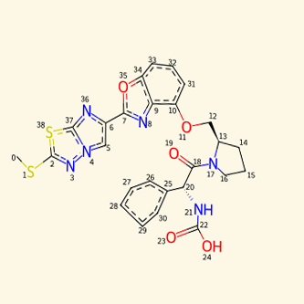 CSc1nn2cc(-c3nc4c(OC[C@H]5CCCN5C(=O)[C@H](NC(=O)O)c5ccccc5)cccc4o3)nc2s1